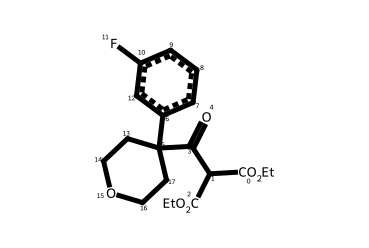 CCOC(=O)C(C(=O)OCC)C(=O)C1(c2cccc(F)c2)CCOCC1